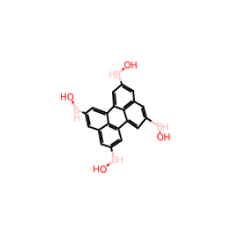 OBc1cc2cc(BO)cc3c4cc(BO)cc5cc(BO)cc(c(c1)c23)c54